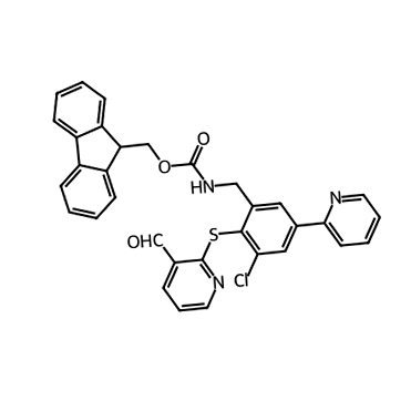 O=Cc1cccnc1Sc1c(Cl)cc(-c2ccccn2)cc1CNC(=O)OCC1c2ccccc2-c2ccccc21